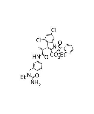 C=C(C(=O)Nc1cccc(CN(CC)C(N)=O)c1)c1c(C(=O)OCC)n(S(=O)(=O)c2ccccc2)c2cc(Cl)cc(Cl)c12